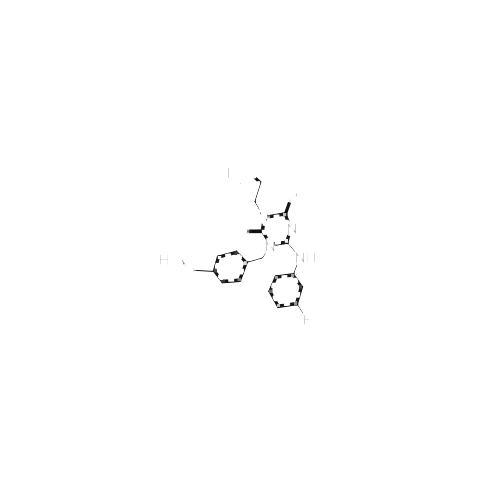 C=CCn1c(=O)nc(Nc2cccc(F)c2)n(Cc2ccc(OC)cc2)c1=O